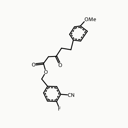 COc1ccc(CCC(=O)CC(=O)OCc2ccc(F)c(C#N)c2)cc1